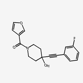 O=C(c1ccoc1)N1CCC(O)(C#Cc2cccc(F)c2)CC1